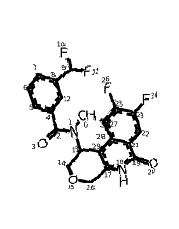 CN(C(=O)c1cccc(C(F)F)c1)C1COCc2[nH]c(=O)c3cc(F)c(F)cc3c21